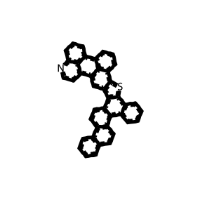 c1ccc2c(c1)ccc1c2ccc2c1c1ccccc1c1sc3c4cccc5c6cccc7nccc(c(cc3c21)c54)c76